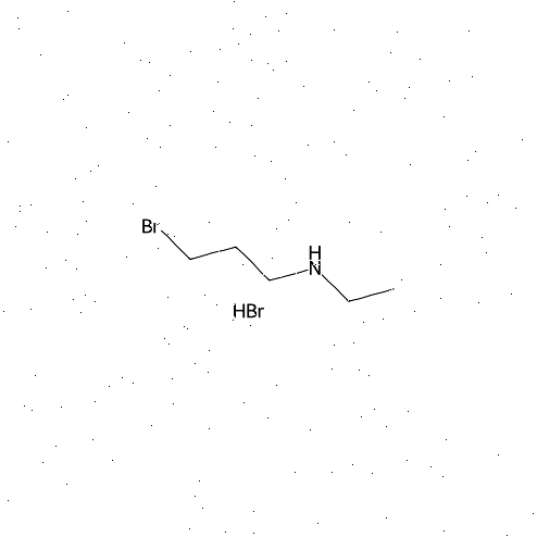 Br.CCNCCCBr